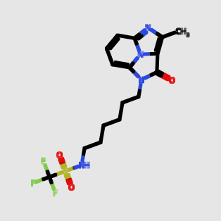 Cc1nc2cccc3n(CCCCCCNS(=O)(=O)C(F)(F)F)c(=O)c1n23